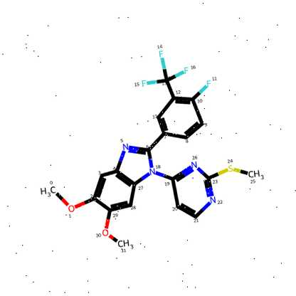 COc1cc2nc(-c3ccc(F)c(C(F)(F)F)c3)n(-c3ccnc(SC)n3)c2cc1OC